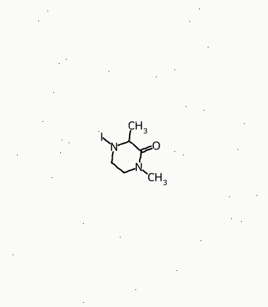 CC1C(=O)N(C)CCN1I